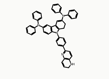 C1=Cc2nc(-c3ccc(-n4c5c(c6cc(N(c7ccccc7)c7ccccc7)ccc64)C=C(N(c4ccccc4)c4ccccc4)CC5)cc3)ccc2NC1